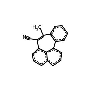 CC1=C(C#N)c2cccc3cccc(c23)-c2ccccc21